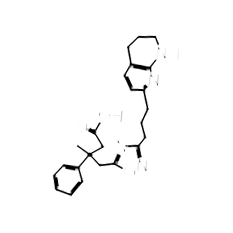 CC(CC(=O)O)(Cc1nc(CCCc2ccc3c(n2)NCCC3)no1)c1ccccc1